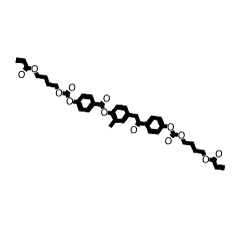 C=CC(=O)OCCCCOC(=O)Oc1ccc(C(=O)Cc2ccc(OC(=O)c3ccc(OC(=O)OCCCCOC(=O)C=C)cc3)c(C)c2)cc1